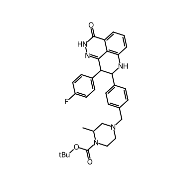 CC1CN(Cc2ccc(C3Nc4cccc5c(=O)[nH]nc(c45)C3c3ccc(F)cc3)cc2)CCN1C(=O)OC(C)(C)C